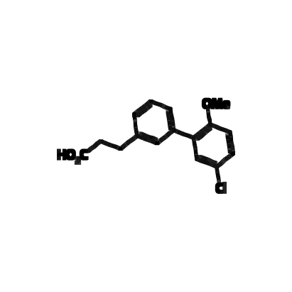 COc1ccc(Cl)cc1-c1cccc(CCC(=O)O)c1